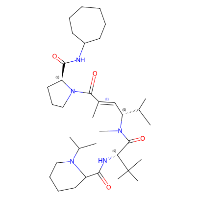 C/C(=C\[C@H](C(C)C)N(C)C(=O)[C@@H](NC(=O)C1CCCCN1C(C)C)C(C)(C)C)C(=O)N1CCC[C@H]1C(=O)NC1CCCCCC1